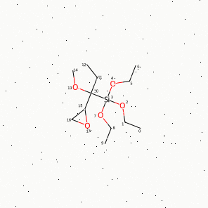 CCO[Si](OCC)(OCC)C(CC)(OC)C1CO1